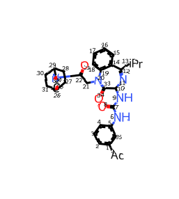 CC(=O)c1cccc(NC(=O)NC2N=C(C(C)C)c3ccccc3N(CC(=O)N3CC4CCC(CC4)C3)C2=O)c1